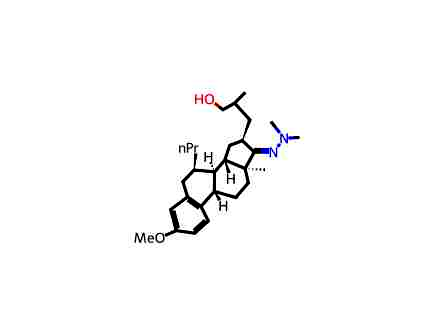 CCC[C@@H]1Cc2cc(OC)ccc2[C@H]2CC[C@]3(C)C(=NN(C)C)[C@H](CC(C)CO)C[C@H]3[C@H]12